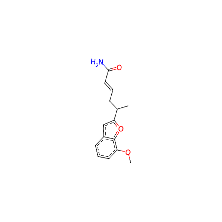 COc1cccc2cc(C(C)CC=CC(N)=O)oc12